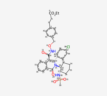 CCOC(=O)CCc1ccc(CONC(=O)[C@@H]2c3ccccc3C(=O)N([C@H]3CCCC[C@@H]3NS(C)(=O)=O)[C@H]2c2ccc(Cl)cc2)cc1